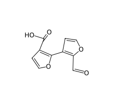 O=Cc1occc1-c1occc1C(=O)O